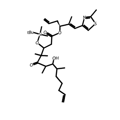 C=CCCCC(C)C(O)C(C)C(=O)C(C)(C)C(CC(=O)O[C@@H](CC=C)/C(C)=C/c1csc(C)n1)O[Si](C)(C)C(C)(C)C